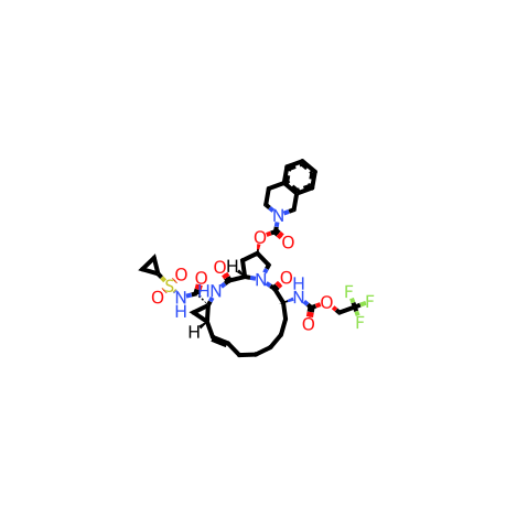 O=C(N[C@H]1CCCCC/C=C/[C@@H]2C[C@@]2(C(=O)NS(=O)(=O)C2CC2)NC(=O)[C@@H]2C[C@@H](OC(=O)N3CCc4ccccc4C3)CN2C1=O)OCC(F)(F)F